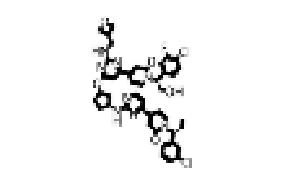 CC[C@H](c1cccc(Cl)c1)n1ccc(-c2ccnc(N[C@H]3CC[C@H](Oc4cc(-c5ccn([C@H](CO)c6ccc(Cl)c(F)c6)c(=O)c5)nc(NCC5COC5)n4)C3)n2)cc1=O